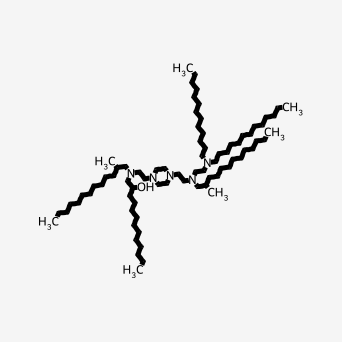 CCCCCCCCCCCCCN(CCCCCCCCCCCCC)CCN(CCN1CCN(CCN(CC(C)CCCCCCCCCCC)CC(O)CCCCCCCCCCC)CC1)CC(C)CCCCCCCCCCC